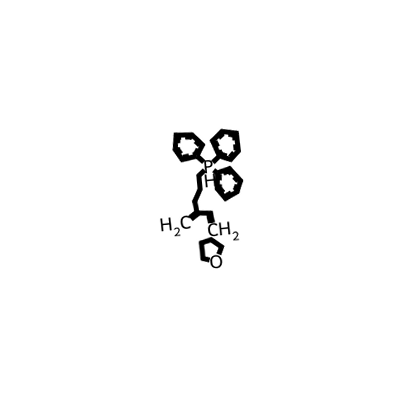 C1CCOC1.C=CC(=C)CCC[PH](c1ccccc1)(c1ccccc1)c1ccccc1